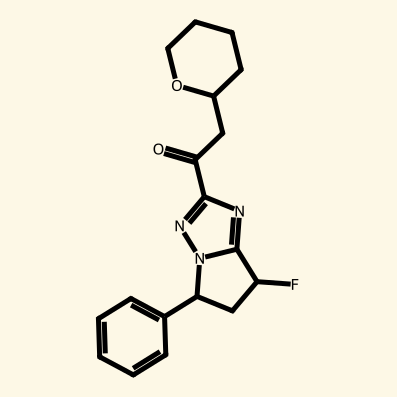 O=C(CC1CCCCO1)c1nc2n(n1)C(c1ccccc1)CC2F